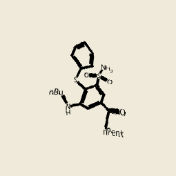 CCCCCC(=O)c1cc(NCCCC)c(Sc2ccccc2)c(S(N)(=O)=O)c1